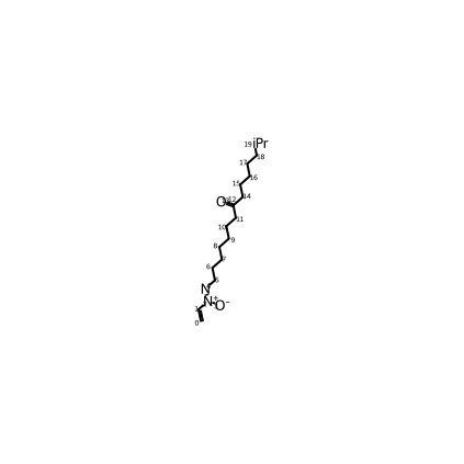 C=C[N+]([O-])=NCCCCCCCC(=O)CCCCCC(C)C